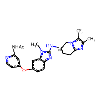 CC(=O)Nc1cc(Oc2ccc3nc(N[C@@H]4CCc5nc(C)c(C(F)(F)F)n5C4)n(C)c3c2)ccn1